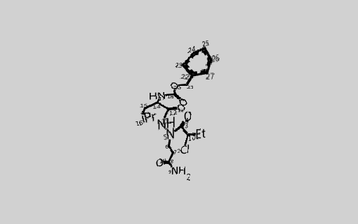 CCC(Cl)C(=O)N(CCC(N)=O)NC(=O)C(CC(C)C)NC(=O)OCc1ccccc1